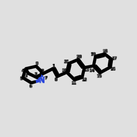 C(=CC1CC2CCN1CC2)c1ccc(-c2ccccc2)cc1